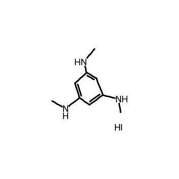 CNc1cc(NC)cc(NC)c1.I